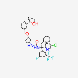 C=C(O)c1cccc(COC2CCC(NC(=O)N[C@@](Cc3ccccc3)(c3cc(F)cc(C(F)(F)F)c3)c3ccc(Cl)cn3)C2)c1